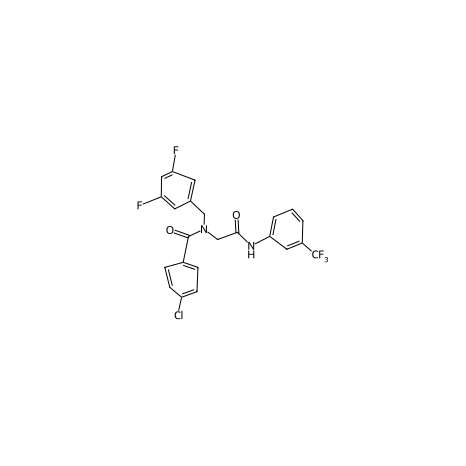 O=C(CN(Cc1cc(F)cc(F)c1)C(=O)c1ccc(Cl)cc1)Nc1cccc(C(F)(F)F)c1